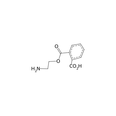 NCCOC(=O)c1ccccc1C(=O)O